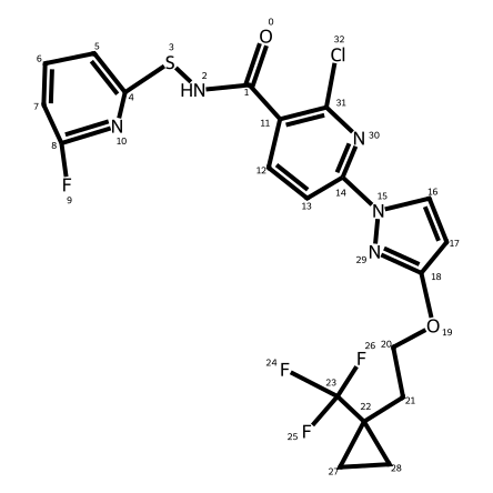 O=C(NSc1cccc(F)n1)c1ccc(-n2ccc(OCCC3(C(F)(F)F)CC3)n2)nc1Cl